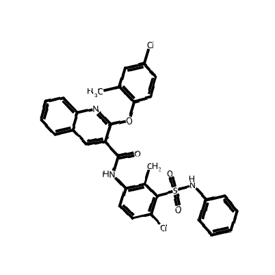 Cc1cc(Cl)ccc1Oc1nc2ccccc2cc1C(=O)Nc1ccc(Cl)c(S(=O)(=O)Nc2ccccc2)c1C